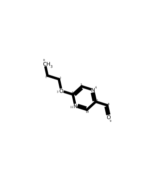 CCCOc1cnc(C=O)cn1